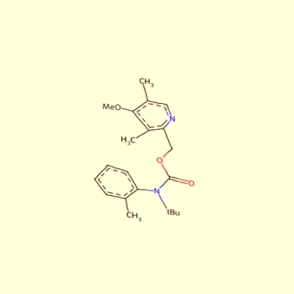 COc1c(C)cnc(COC(=O)N(c2ccccc2C)C(C)(C)C)c1C